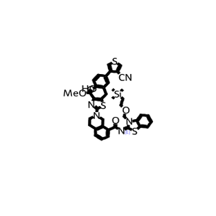 COC(=O)c1nc(N2CCc3cccc(C(=O)/N=c4/sc5ccccc5n4COCC[Si](C)(C)C)c3C2)sc1Cc1cc(-c2cscc2C#N)ccc1O